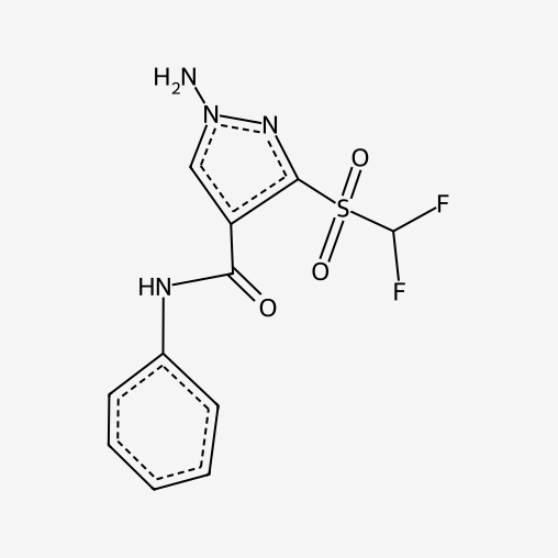 Nn1cc(C(=O)Nc2ccccc2)c(S(=O)(=O)C(F)F)n1